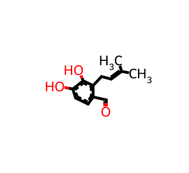 CC(C)=CCc1c(C=O)ccc(O)c1O